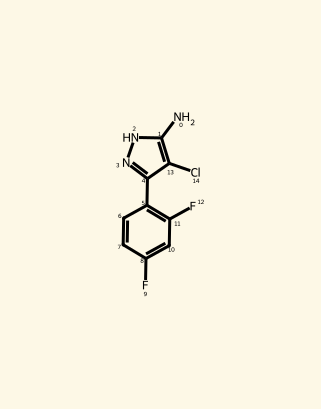 Nc1[nH]nc(-c2ccc(F)cc2F)c1Cl